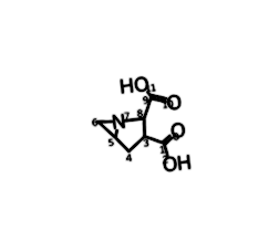 O=C(O)C1CC2CN2C1C(=O)O